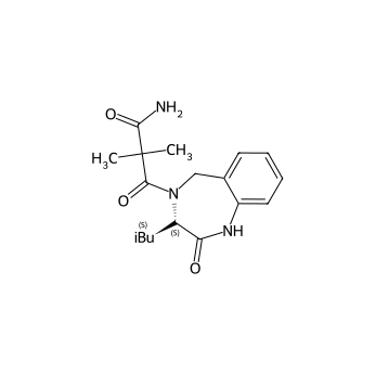 CC[C@H](C)[C@H]1C(=O)Nc2ccccc2CN1C(=O)C(C)(C)C(N)=O